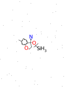 Cc1ccc2c(c1)OCCC2(C#N)OC(C)(C)[SiH3]